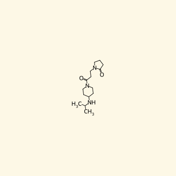 CC(C)NC1CCN(C(=O)CCN2CCCC2=O)CC1